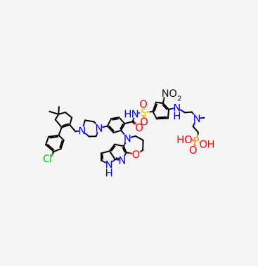 CN(CCNc1ccc(S(=O)(=O)NC(=O)c2ccc(N3CCN(CC4=C(c5ccc(Cl)cc5)CC(C)(C)CC4)CC3)cc2N2CCCOc3nc4[nH]ccc4cc32)cc1[N+](=O)[O-])CCP(=O)(O)O